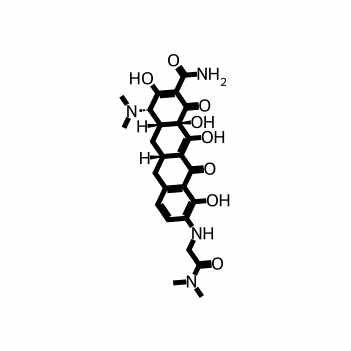 CN(C)C(=O)CNc1ccc2c(c1O)C(=O)C1=C(O)[C@@]3(O)C(=O)C(C(N)=O)=C(O)[C@@H](N(C)C)[C@H]3C[C@H]1C2